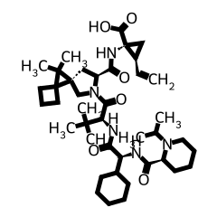 C=C[C@@H]1C[C@]1(NC(=O)[C@@H]1C[C@@]2(CN1C(=O)[C@@H](NC(=O)[C@@H](NC(=O)[C@@H]1CCCCN1C(C)C)C1CCCCC1)C(C)(C)C)C(C)(C)C21CCC1)C(=O)O